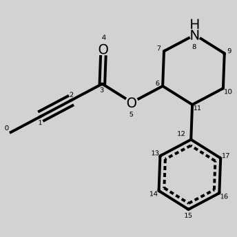 CC#CC(=O)OC1CNCCC1c1ccccc1